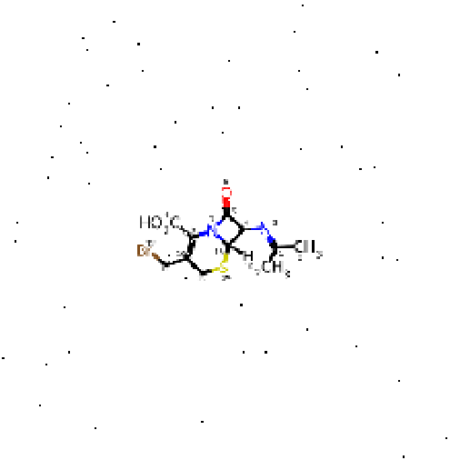 CC(C)=N[C@@H]1C(=O)N2C(C(=O)O)=C(CBr)CS[C@@H]12